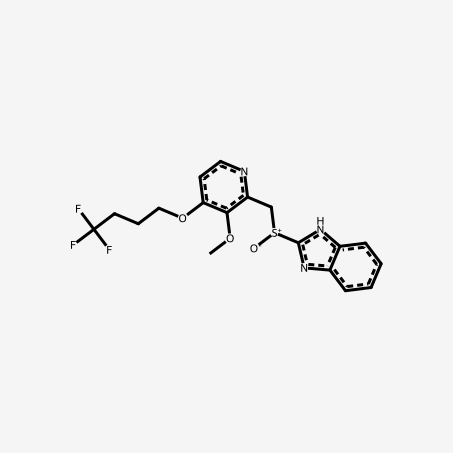 COc1c(OCCCC(F)(F)F)ccnc1C[S+]([O-])c1nc2ccccc2[nH]1